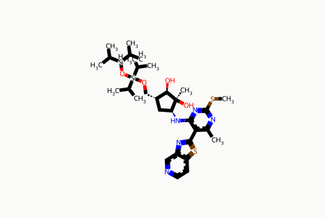 CSc1nc(C)c(-c2nc3cnccc3s2)c(N[C@@H]2C[C@H](CO[Si](O[SiH](C(C)C)C(C)C)(C(C)C)C(C)C)[C@@H](O)[C@@]2(C)O)n1